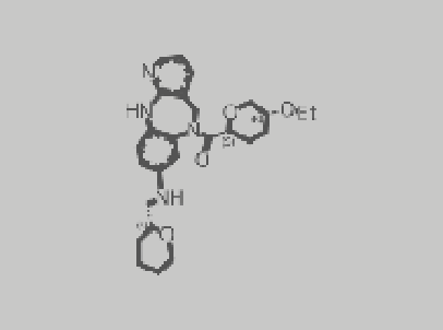 CCO[C@@H]1CC[C@@H](C(=O)N2Cc3cccnc3Nc3ccc(NC[C@H]4CCCCO4)cc32)OC1